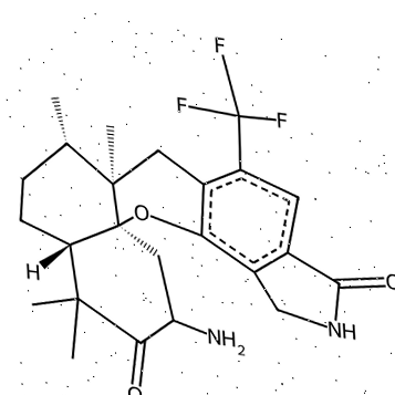 C[C@H]1CC[C@H]2C(C)(C)C(=O)C(N)C[C@]23Oc2c4c(cc(C(F)(F)F)c2C[C@]13C)C(=O)NC4